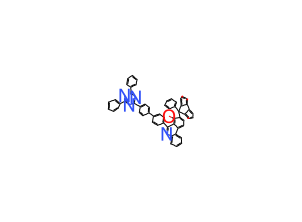 c1ccc(-c2nc(-c3ccccc3)nc(-c3ccc(-c4ccc(-c5nc6ccccc6c6ccc7c(c56)Oc5ccccc5C75c6ccccc6-c6ccccc65)cc4)cc3)n2)cc1